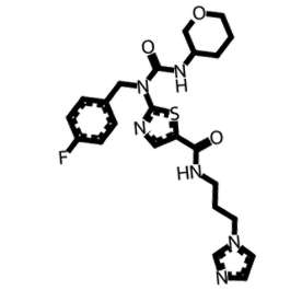 O=C(NCCCn1ccnc1)c1cnc(N(Cc2ccc(F)cc2)C(=O)NC2CCCOC2)s1